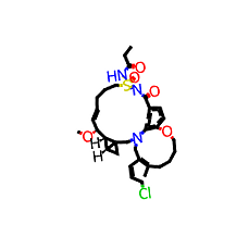 CCC(=O)N[S@]1(=O)=NC(=O)c2ccc3c(c2)N(CC(/C=C\CCl)=C(/C)CCCCO3)CC23C[C@@H]2[C@@H]3[C@@H](OC)/C=C/CCC1